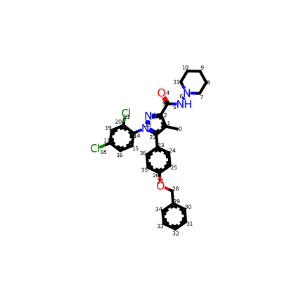 Cc1c(C(=O)NN2CCCCC2)nn(-c2ccc(Cl)cc2Cl)c1-c1ccc(OCc2ccccc2)cc1